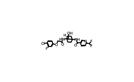 O=C(COc1ccc(Cl)c(F)c1)NC12CCC(NC(=O)c3ccc(C(F)F)nc3)(CC1)C[C@@H]2O